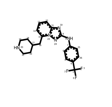 FC(F)(F)c1ccc(Nc2nc3cccc(CC4CCNCC4)n3n2)cc1